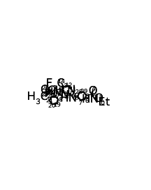 CCONC(=O)c1ccc(Nc2ncc(C(F)(F)F)c(Nc3ccccc3P(C)(C)=O)n2)cc1